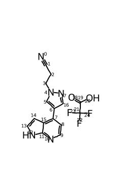 N#CCCn1cc(-c2ccnc3[nH]ccc23)cn1.O=C(O)C(F)(F)F